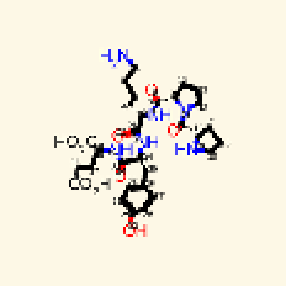 NCCCC[C@H](NC(=O)[C@@H]1CCCN1C(=O)[C@@H]1CCCN1)C(=O)N[C@@H](Cc1ccc(O)cc1)C(=O)N[C@@H](CCC(=O)O)C(=O)O